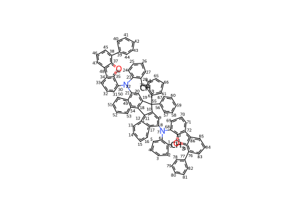 Cc1ccccc1N(c1cc2c(c3ccccc13)-c1c(cc(N(c3ccccc3C)c3cccc4c3oc3c(-c5ccccc5)cccc34)c3ccccc13)C2(c1ccccc1)c1ccccc1)c1cccc2c1oc1c(-c3ccccc3)cccc12